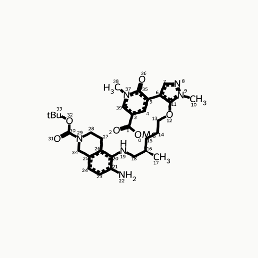 COC(=O)c1cc(-c2cnn(C)c2OCCC[C@@H](C)CNc2c(N)ccc3c2CCN(C(=O)OC(C)(C)C)C3)c(=O)n(C)c1